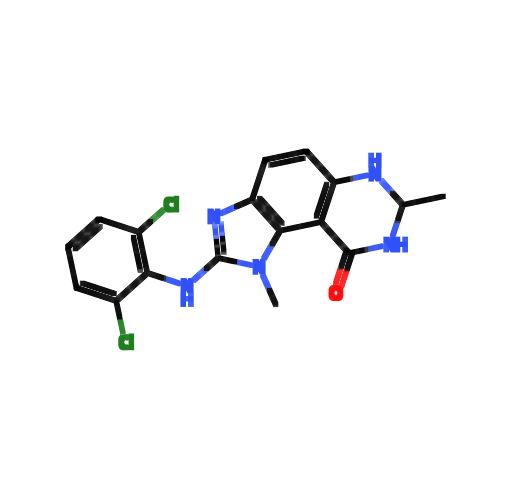 CC1NC(=O)c2c(ccc3nc(Nc4c(Cl)cccc4Cl)n(C)c23)N1